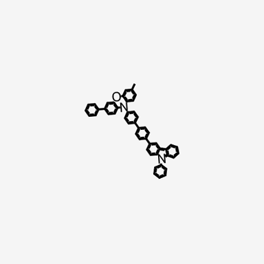 Cc1ccc2c(c1)Oc1cc(-c3ccccc3)ccc1N2c1ccc(-c2ccc(-c3ccc4c(c3)c3ccccc3n4-c3ccccc3)cc2)cc1